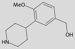 COc1ccc(CO)cc1C1CCNCC1